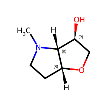 CN1CC[C@H]2OC[C@H](O)[C@H]21